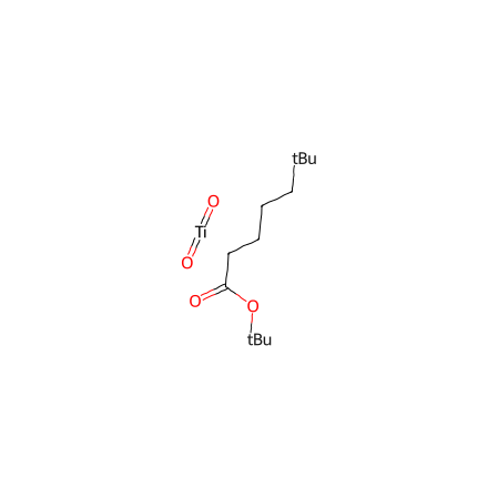 CC(C)(C)CCCCC(=O)OC(C)(C)C.[O]=[Ti]=[O]